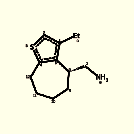 CCc1csc2c1[C@H](CN)CCCC2